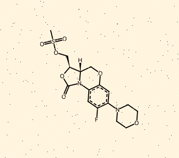 CS(=O)(=O)OC[C@@H]1OC(=O)N2c3cc(F)c(N4CCOCC4)cc3OC[C@@H]12